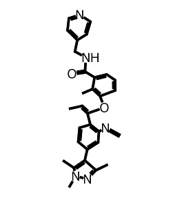 C=Nc1cc(-c2c(C)nn(C)c2C)ccc1/C(=C\C)Oc1cccc(C(=O)NCc2ccncc2)c1C